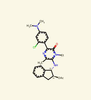 CCn1c(N[C@H]2c3ccccc3C[C@@H]2OC(C)=O)c(C)nc(-c2ccc(N(C)C)cc2Cl)c1=O